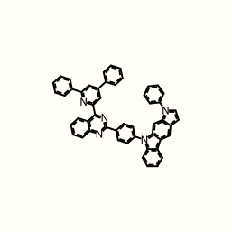 c1ccc(-c2cc(-c3ccccc3)nc(-c3nc(-c4ccc(-n5c6ccccc6c6cc7ccn(-c8ccccc8)c7cc65)cc4)nc4ccccc34)c2)cc1